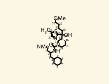 CNCC(CC1CCCCC1)NC(=O)N1CCC[C@@H]([C@@](O)(CCCCOC)c2ncc(C)s2)C1